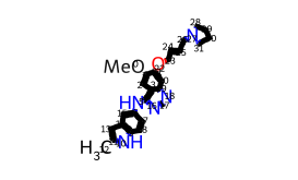 COc1cc2c(Nc3ccc4[nH]c(C)cc4c3)ncnc2cc1OCC=CCN1CCCC1